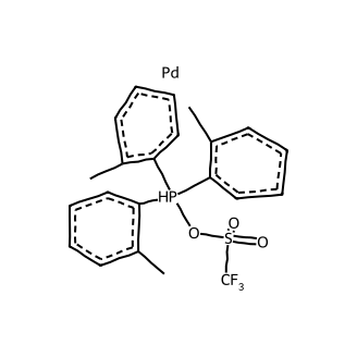 Cc1ccccc1[PH](OS(=O)(=O)C(F)(F)F)(c1ccccc1C)c1ccccc1C.[Pd]